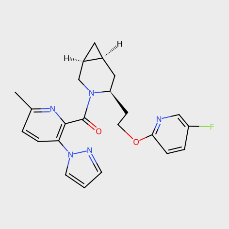 Cc1ccc(-n2cccn2)c(C(=O)N2C[C@H]3C[C@H]3C[C@H]2CCOc2ccc(F)cn2)n1